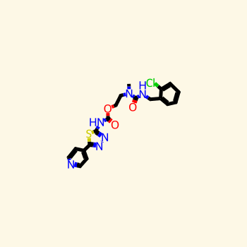 CN(CCOC(=O)Nc1nnc(-c2ccncc2)s1)C(=O)NCc1ccccc1Cl